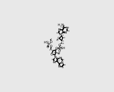 COP(=O)(S)OC[C@H]1O[C@@H](n2cnc3c2ncn2ccnc32)[C@H](F)[C@@H]1OP(=O)(S)OC[C@H]1C[C@@H](n2cnc3c(N)ncnc32)[C@@H]1C